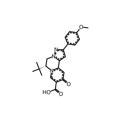 COc1ccc(-c2cc3n(n2)C[C@@H](C(C)(C)C)n2cc(C(=O)O)c(=O)cc2-3)cc1